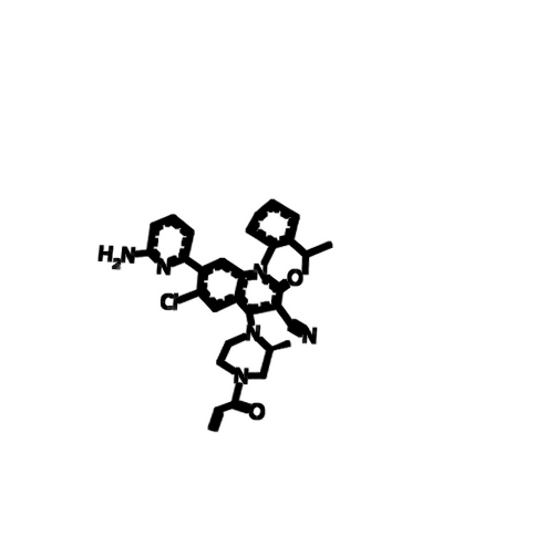 C=CC(=O)N1CCN(c2c(C#N)c(=O)n(-c3ccccc3C(C)C)c3cc(-c4cccc(N)n4)c(Cl)cc23)[C@@H](C)C1